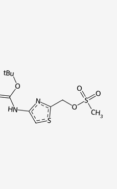 CC(C)(C)OC(=O)Nc1csc(COS(C)(=O)=O)n1